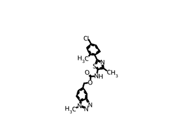 Cc1cc(Cl)ccc1-c1nc(C)c(NC(=O)OCc2ccc3c(c2)nnn3C)s1